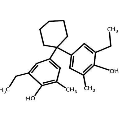 CCc1cc(C2(c3cc(C)c(O)c(CC)c3)CCCCC2)cc(C)c1O